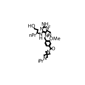 CCC[C@@H](CCO)Nc1nc(N)nc2cnn(Cc3ccc(C(=O)N4CC5(C4)CN(C(C)C)C5)cc3OC)c12